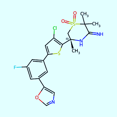 CC1(C)C(=N)N[C@](C)(c2sc(-c3cc(F)cc(-c4cnco4)c3)cc2Cl)CS1(=O)=O